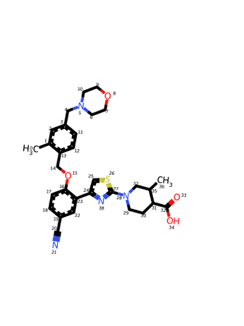 Cc1cc(CN2CCOCC2)ccc1COc1ccc(C#N)cc1-c1csc(N2CCC(C(=O)O)C(C)C2)n1